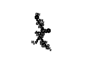 CSCC[C@H](NC(=O)[C@H](Cc1ccccc1)NC(=O)CNC(=O)CNC(=O)[C@@H](N)Cc1ccc(O)cc1)C(=O)N[C@@H](CCCCN)C(=O)NCC(=O)N[C@@H](CCC(N)=O)C(=O)O